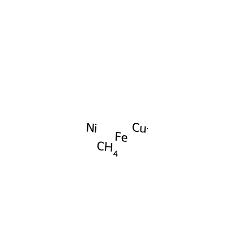 C.[Cu].[Fe].[Ni]